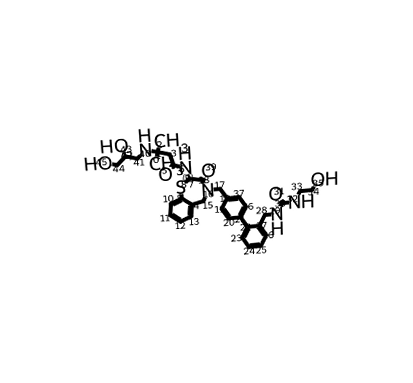 CC(C)(CC(=O)N[C@@H]1Sc2ccccc2CN(Cc2ccc(-c3ccccc3CNC(=O)NCCO)cc2)C1=O)NC[C@H](O)CO